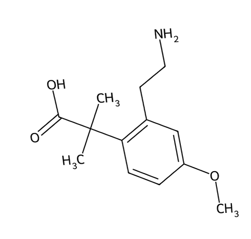 COc1ccc(C(C)(C)C(=O)O)c(CCN)c1